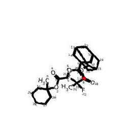 CC1(OC(=O)COC(=O)C23CC4CC(C2)C(OC(=O)C(C)(F)F)C(C4)C3)CCCCC1